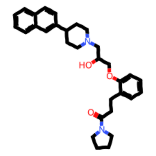 O=C(CCc1ccccc1OCC(O)CN1CCC(c2ccc3ccccc3c2)CC1)N1CCCC1